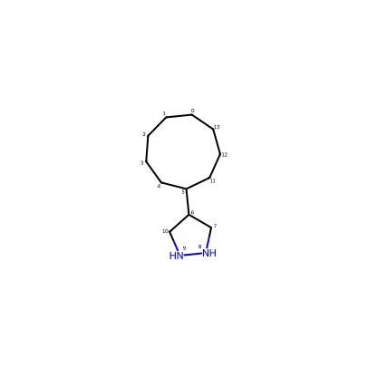 C1CCCCC(C2CNNC2)CCC1